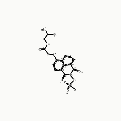 CCCCC(CC)COC(=O)CSc1ccc2c3c(cccc13)C(=O)N(OS(C)(=O)=O)C2=O